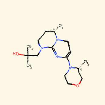 C[C@@H]1COCCN1C1=CCN2C(=N1)N(CC(C)(C)O)CC[C@@H]2C(F)(F)F